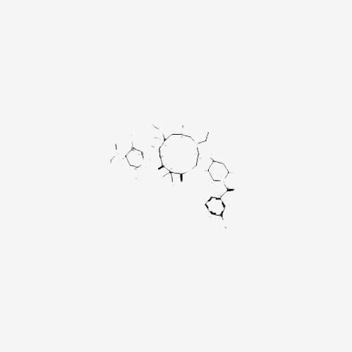 CCN1C[C@H](C)C[C@@](C)(OC)[C@H](O[C@@H]2O[C@H](C)C[C@H](N(C)C)[C@H]2O)[C@@H](C)C(=O)C(C)(C)C(=O)OC[C@H]1CC1CCN(C(=O)c2cccc(Cl)c2)CC1